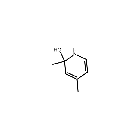 CC1=CC(C)(O)NC=C1